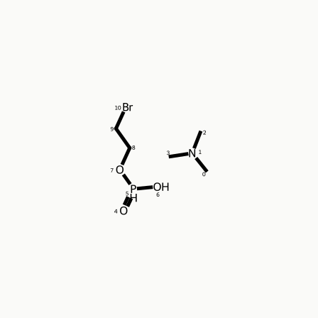 CN(C)C.O=[PH](O)OCCBr